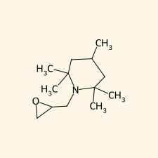 CC1CC(C)(C)N(CC2CO2)C(C)(C)C1